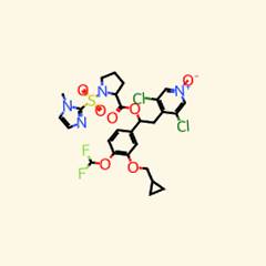 Cn1ccnc1S(=O)(=O)N1CCCC1C(=O)OC(Cc1c(Cl)c[n+]([O-])cc1Cl)c1ccc(OC(F)F)c(OCC2CC2)c1